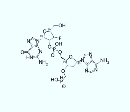 Nc1nc2c(ncn2[C@@H]2O[C@H](CO)C(F)C2OP(=O)(O)OC[C@H]2O[C@@H](n3cnc4c(N)ncnc43)CC2OC[PH](=O)O)c(=O)[nH]1